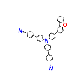 N#Cc1ccc(-c2ccc(N(c3ccc(-c4ccc(C#N)cc4)cc3)c3ccc(-c4ccc5oc6ccccc6c5c4)cc3)cc2)cc1